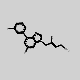 NC/C=C(\F)Cn1cnc2c(-c3cccc(F)c3)cc(F)cc21